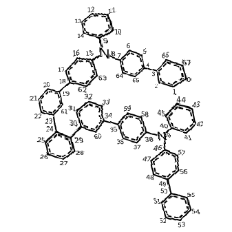 c1ccc(-c2ccc(N(c3ccccc3)c3ccc(-c4cccc(-c5ccccc5-c5cccc(-c6ccc(N(c7ccccc7)c7ccc(-c8ccccc8)cc7)cc6)c5)c4)cc3)cc2)cc1